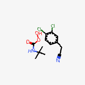 CC(C)(C)NC(=O)OO.N#CCc1ccc(Cl)c(Cl)c1